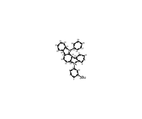 CCC(C)c1cccc(-n2c3ccccc3c3c2ccc2c4ccccc4n(-c4ccccc4)c23)c1